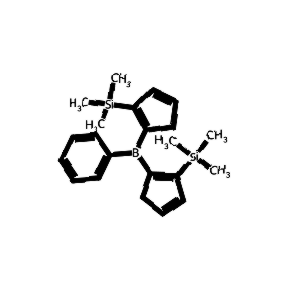 C[Si](C)(C)C1=C(B(C2=C([Si](C)(C)C)C=CC2)c2ccccc2)CC=C1